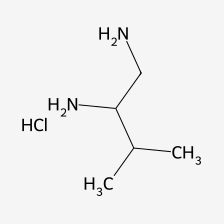 CC(C)C(N)CN.Cl